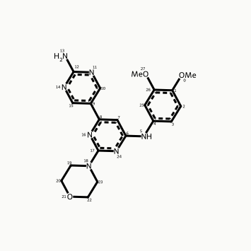 COc1ccc(Nc2cc(-c3cnc(N)nc3)nc(N3CCOCC3)n2)cc1OC